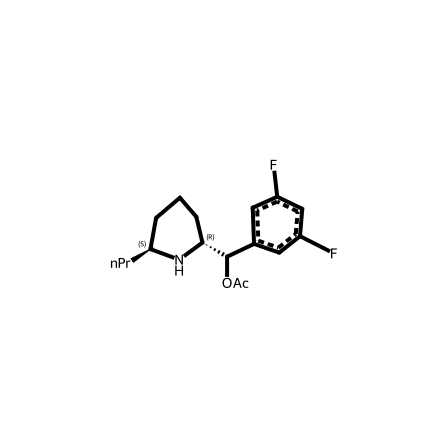 CCC[C@H]1CCC[C@H](C(OC(C)=O)c2cc(F)cc(F)c2)N1